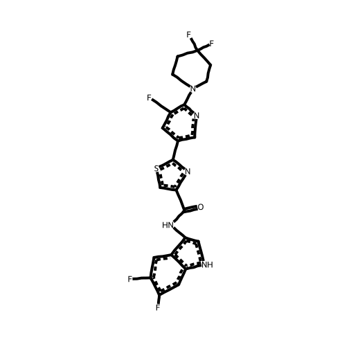 O=C(Nc1c[nH]c2cc(F)c(F)cc12)c1csc(-c2cnc(N3CCC(F)(F)CC3)c(F)c2)n1